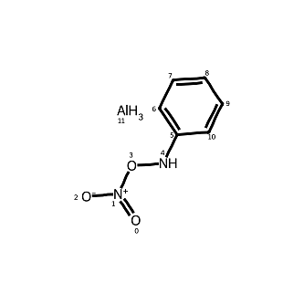 O=[N+]([O-])ONc1ccccc1.[AlH3]